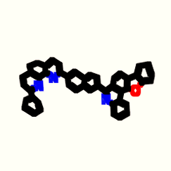 c1ccc(-c2ccc3c(n2)-c2nc(-c4ccc5cc(-c6nc7ccccc7c7c6ccc6c8ccccc8oc67)ccc5c4)ccc2CC3)cc1